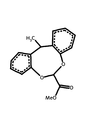 COC(=O)C1Oc2ccccc2C(C)c2ccccc2O1